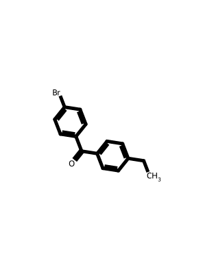 CCc1ccc(C(=O)c2ccc(Br)cc2)cc1